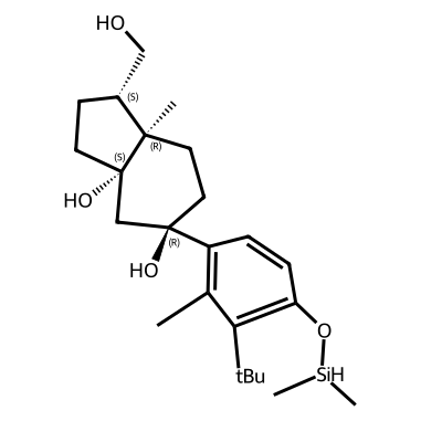 Cc1c([C@@]2(O)CC[C@]3(C)[C@@H](CO)CC[C@]3(O)C2)ccc(O[SiH](C)C)c1C(C)(C)C